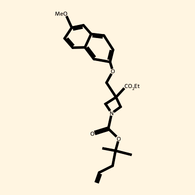 C=CCC(C)(C)OC(=O)N1CC(COc2ccc3cc(OC)ccc3c2)(C(=O)OCC)C1